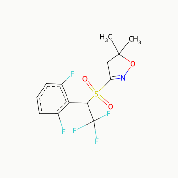 CC1(C)CC(S(=O)(=O)C(c2c(F)cccc2F)C(F)(F)F)=NO1